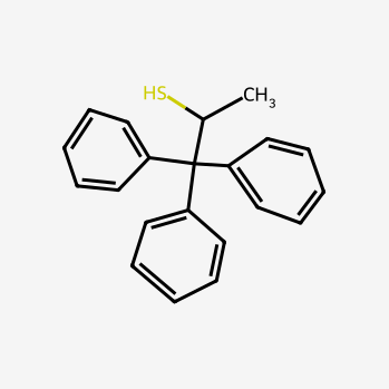 CC(S)C(c1ccccc1)(c1ccccc1)c1ccccc1